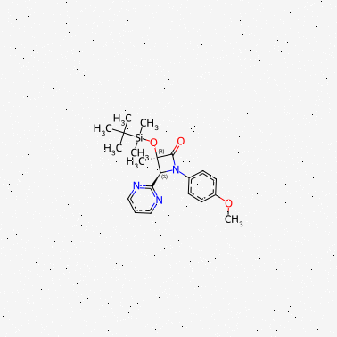 COc1ccc(N2C(=O)[C@](C)(O[Si](C)(C)C(C)(C)C)[C@@H]2c2ncccn2)cc1